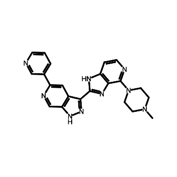 CN1CCN(c2nccc3[nH]c(-c4n[nH]c5cnc(-c6cccnc6)cc45)nc23)CC1